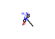 CCCCCCCCn1c(-c2ccc(C)c(N)c2)nc2ccc(OCC)cc21